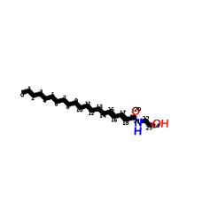 CCCCCCCCCCCCCCCC=CC=CC(=O)NCCO